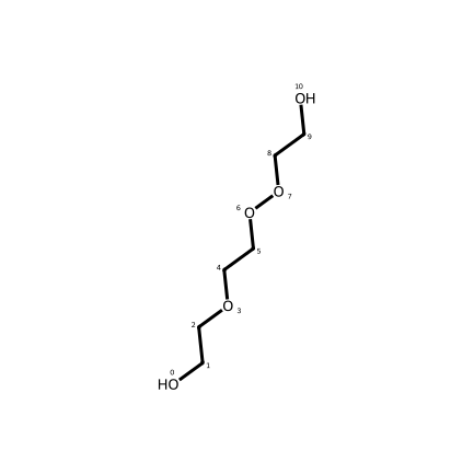 OCCOCCOOCCO